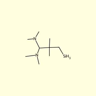 CN(C)C(N(C)C)C(C)(C)C[SiH3]